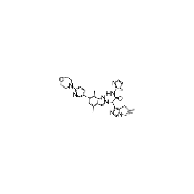 Cc1cc(-c2ccc(N3CCOCC3)nc2)c(C)c2nn(C(C(=O)Nc3nccs3)c3ncn4c3C[C@@H](C)C4)cc12